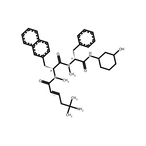 CN(C(=O)/C=C/CC(C)(C)N)[C@H](Cc1ccc2ccccc2c1)C(=O)N(C)[C@H](Cc1ccccc1)C(=O)NC1CCCC(O)C1